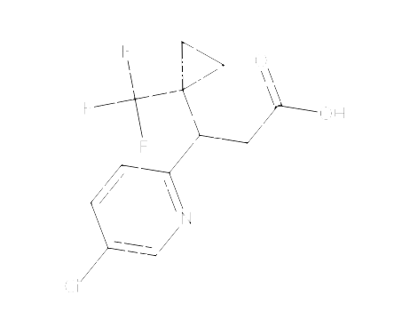 O=C(O)CC(c1ccc(Cl)cn1)C1(C(F)(F)F)CC1